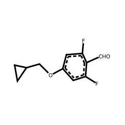 O=Cc1c(F)cc(OCC2CC2)cc1F